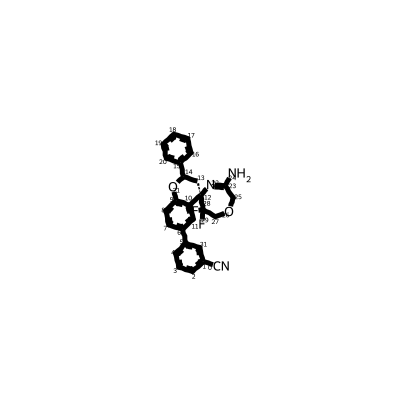 N#Cc1cccc(-c2ccc3c(c2)[C@@]2(CC(c4ccccc4)O3)N=C(N)COCC2(F)F)c1